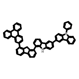 c1ccc(-n2c3ccccc3c3cc(-c4ccc5[nH]c6c(-c7cccc8c7Cc7c(-c9ccc%10c%11ccccc%11c%11ccccc%11c%10c9)cccc7-8)cccc6c5c4)ccc32)cc1